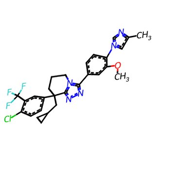 COc1cc(-c2nnc3n2CCCC3(CC2CC2)c2ccc(Cl)c(C(F)(F)F)c2)ccc1-n1cnc(C)c1